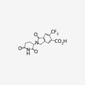 O=C1CCC(N2Cc3cc(C(=O)O)c(C(F)(F)F)cc3C2=O)C(=O)N1